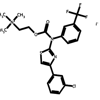 C[N+](C)(C)CCOC(=O)N(c1cccc(C(F)(F)F)c1)c1nc(-c2cccc(Cl)c2)cs1.[I-]